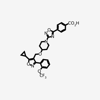 O=C(O)c1ccc(-c2nc(N3CCC(OCc4c(-c5ccccc5OC(F)(F)F)noc4C4CC4)CC3)no2)cc1